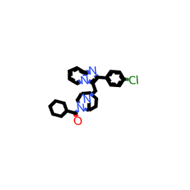 O=C(C1CCCCC1)N1CC2CCCC1CN2Cc1c(-c2ccc(Cl)cc2)nc2ccccn12